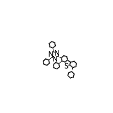 c1ccc(-c2nc(-c3ccccc3)nc(-c3ccc4c(sc5c(-c6ccccc6)cccc54)c3-c3ccccc3)n2)cc1